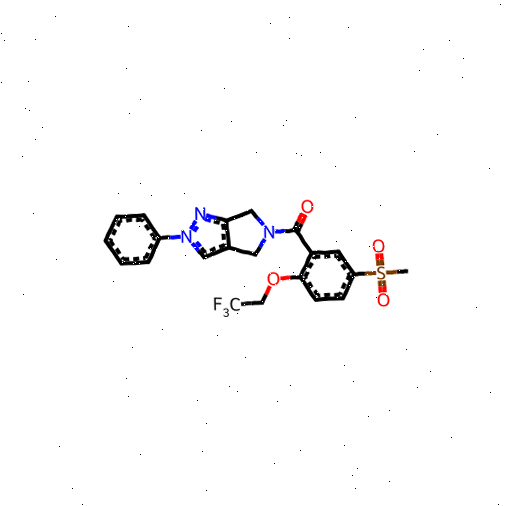 CS(=O)(=O)c1ccc(OCC(F)(F)F)c(C(=O)N2Cc3cn(-c4ccccc4)nc3C2)c1